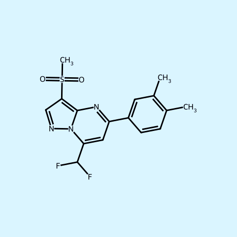 Cc1ccc(-c2cc(C(F)F)n3ncc(S(C)(=O)=O)c3n2)cc1C